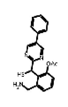 CC(=O)Oc1cccc(CN)c1C(S)c1ncc(-c2ccccc2)cn1